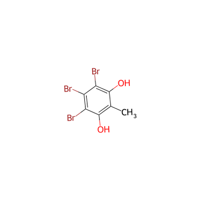 Cc1c(O)c(Br)c(Br)c(Br)c1O